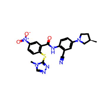 C[C@@H]1CCN(c2ccc(NC(=O)c3cc([N+](=O)[O-])ccc3Sc3nncn3C)c(C#N)c2)C1